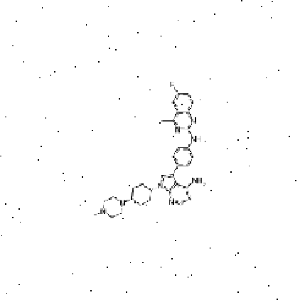 Cc1nc(Nc2ccc(-c3cn([C@H]4CC[C@H](N5CCN(C)CC5)CC4)c4ncnc(N)c34)cc2)nc2ccc(F)cc12